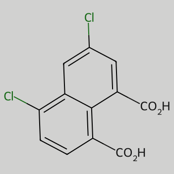 O=C(O)c1ccc(Cl)c2cc(Cl)cc(C(=O)O)c12